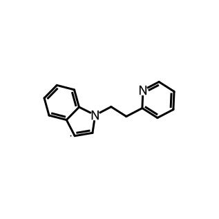 [c]1cn(CCc2ccccn2)c2ccccc12